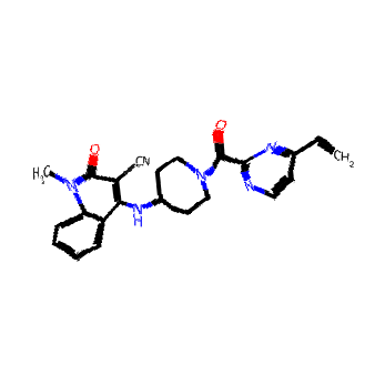 C=Cc1ccnc(C(=O)N2CCC(Nc3c(C#N)c(=O)n(C)c4ccccc34)CC2)n1